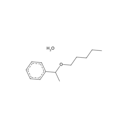 CCCCCOC(C)c1ccccc1.O